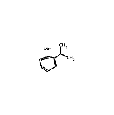 CC(C)c1ccccc1.[Mn]